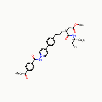 COC(=O)c1ccc(C(=O)N[n+]2ccc(-c3ccc(CCC[C@H](CC(=O)OC(C)(C)C)C(=O)N[C@@H](CC(C)C)C(=O)O)cc3)cc2)cc1